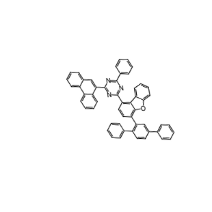 c1ccc(-c2ccc(-c3ccccc3)c(-c3ccc(-c4nc(-c5ccccc5)nc(-c5cc6ccccc6c6ccccc56)n4)c4c3oc3ccccc34)c2)cc1